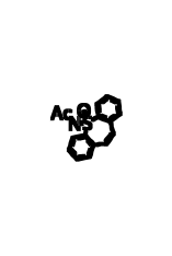 CC(=O)N=S1(=O)c2ccccc2C=Cc2ccccc21